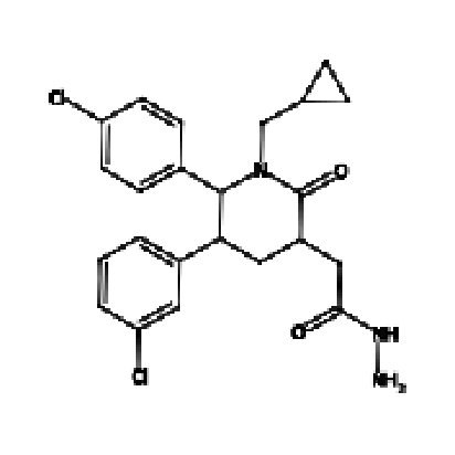 NNC(=O)CC1CC(c2cccc(Cl)c2)C(c2ccc(Cl)cc2)N(CC2CC2)C1=O